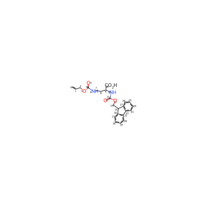 C=CCOC(=O)NCC[C@H](NC(=O)OCC1c2ccccc2-c2ccccc21)C(=O)O